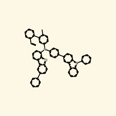 C=Cc1ccccc1-c1cc(N(c2ccc(-c3ccc4c(c3)c3ccccc3n4-c3ccccc3)cc2)c2cccc3c2oc2ccc(-c4ccccc4)cc23)ccc1C